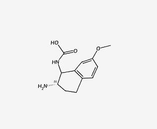 COc1ccc2c(c1)C(NC(=O)O)[C@@H](N)CC2